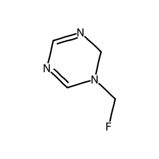 FCN1C=NC=NC1